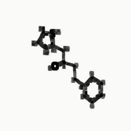 O=C(CCc1ccccc1)Cc1cccs1